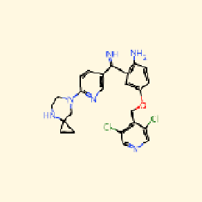 N=C(c1ccc(N2CCNC3(CC3)C2)nc1)c1cc(OCc2c(Cl)cncc2Cl)ccc1N